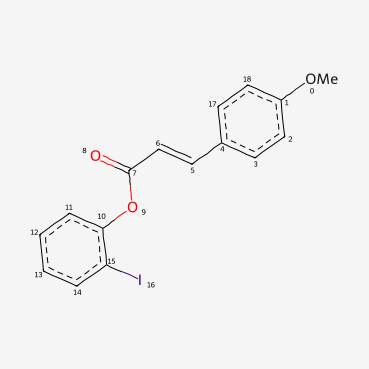 COc1ccc(C=CC(=O)Oc2ccccc2I)cc1